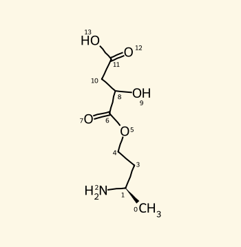 C[C@@H](N)CCOC(=O)C(O)CC(=O)O